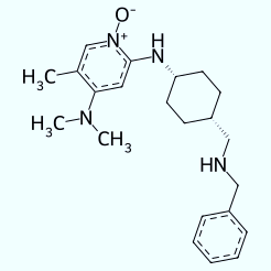 Cc1c[n+]([O-])c(N[C@H]2CC[C@@H](CNCc3ccccc3)CC2)cc1N(C)C